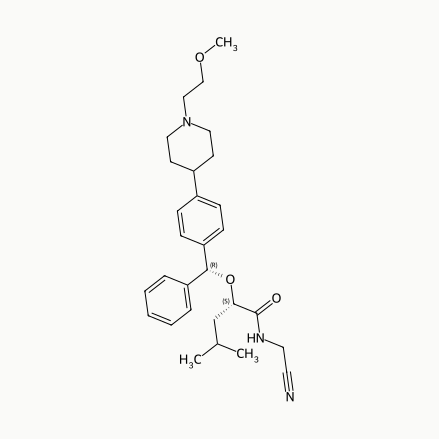 COCCN1CCC(c2ccc([C@H](O[C@@H](CC(C)C)C(=O)NCC#N)c3ccccc3)cc2)CC1